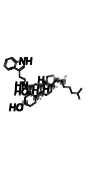 CC(C)CCC[C@@H](C)[C@H]1CC[C@H]2[C@@H]3C[C@@H](NCCc4c[nH]c5ccccc45)[C@@]4(O)C[C@@H](O)CC[C@]4(C)[C@H]3CC[C@]12C